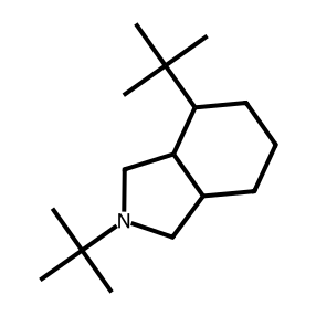 CC(C)(C)C1CCCC2CN(C(C)(C)C)CC21